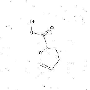 CCOC(=O)C1CCC=CO1